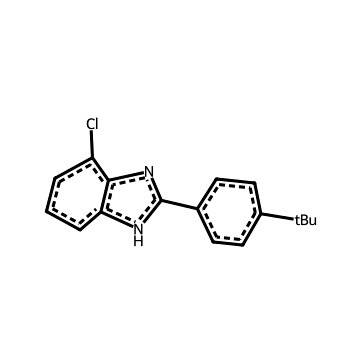 CC(C)(C)c1ccc(-c2nc3c(Cl)cccc3[nH]2)cc1